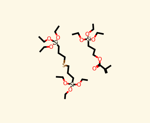 C=C(C)C(=O)OCCC[Si](OCC)(OCC)OCC.CCO[Si](CCCSCCC[Si](OCC)(OCC)OCC)(OCC)OCC